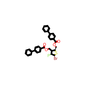 O=C(OCC1[C@@H](COC(=O)c2ccc(-c3ccccc3)cc2)S[C@H](Br)[C@H]1F)c1ccc(-c2ccccc2)cc1